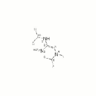 C=N/C(=C\N(C)C(C)C)NC(C)C